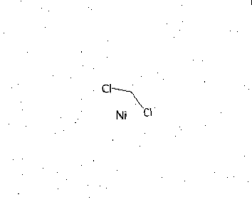 ClCCl.[Ni]